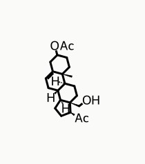 CC(=O)OC1CC[C@@]2(C)C(=CC[C@H]3[C@@H]4CC[C@H](C(C)=O)[C@@]4(CO)CC[C@@H]32)C1